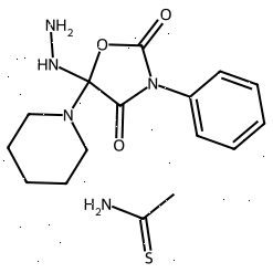 CC(N)=S.NNC1(N2CCCCC2)OC(=O)N(c2ccccc2)C1=O